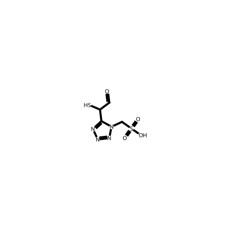 O=[C]C(S)c1nnnn1CS(=O)(=O)O